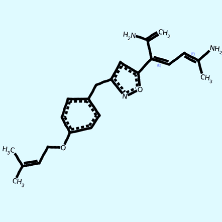 C=C(N)/C(=C\C=C(/C)N)c1cc(Cc2ccc(OCC=C(C)C)cc2)no1